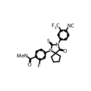 [C-]#[N+]c1ccc(N2C(=O)C3(CCCC3)N(c3ccc(C(=O)NC)c(F)c3)C2=S)cc1C(F)(F)F